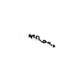 CS(=O)(=O)CCNC(=O)COc1ccc(CCCN2CCC[C@H](NC(=O)c3nc(Cl)c(N)nc3N)C2)cc1